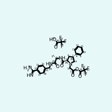 C[C@H](NC(=O)[C@H]1C[C@H](c2ccccc2)CN1CC(=O)OC(=O)C(F)(F)F)C(=O)NCc1ccc(C(=N)N)cc1.O=C(O)C(F)(F)F